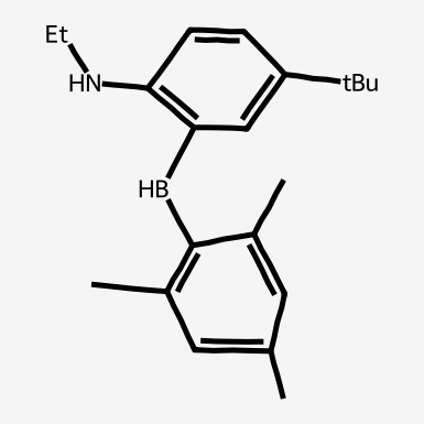 CCNc1ccc(C(C)(C)C)cc1Bc1c(C)cc(C)cc1C